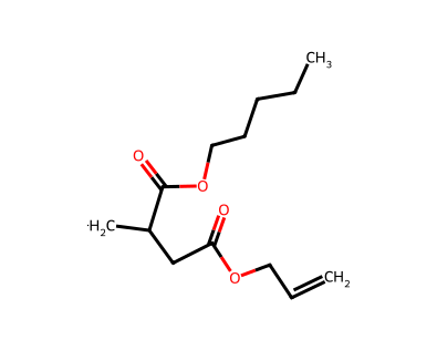 [CH2]C(CC(=O)OCC=C)C(=O)OCCCCC